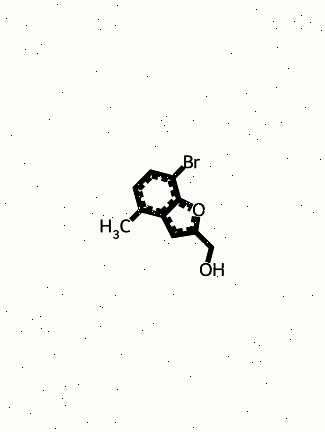 Cc1ccc(Br)c2oc(CO)cc12